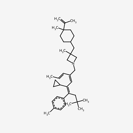 C=C(C)C1(C)CCC(CC2(C)CN(CC(/C=C/C)=C/C(=C(\CC(C)(C)C)c3ccc(C)cc3)C3CC3)C2)CC1